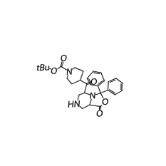 CC(C)(C)OC(=O)N1CCC(C(=O)C2CNCC3C(=O)OC(c4ccccc4)(c4ccccc4)N32)CC1